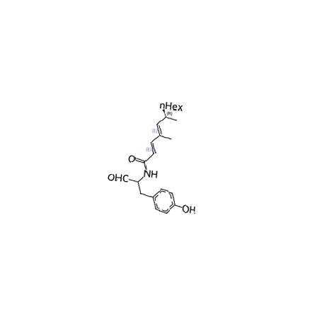 CCCCCC[C@@H](C)/C=C(C)/C=C/C(=O)NC(C=O)Cc1ccc(O)cc1